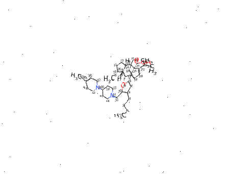 CCCCC1CC(C23C[C@@H]4[C@H](C)CC[C@H]4C4(C=O)CC2C=C(C(C)C)C34C(=O)O)OC1CN1CCC(N2CCC(C)CC2)CC1